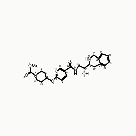 COC(=O)N1CCC(Oc2ccc(C(=O)NC[C@@H](O)[C@@H]3Cc4ccccc4CN3)cn2)CC1